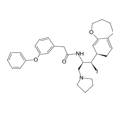 O=C(Cc1cccc(Oc2ccccc2)c1)N[C@H](CN1CCCC1)[C@H](I)[C@H]1C=C2OCCCCC2=CC1